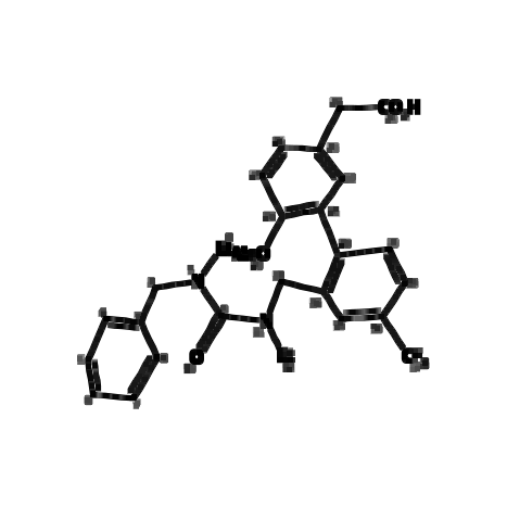 CCN(Cc1ccccc1)C(=O)N(CC)Cc1cc(C(F)(F)F)ccc1-c1cc(CC(=O)O)ccc1OC